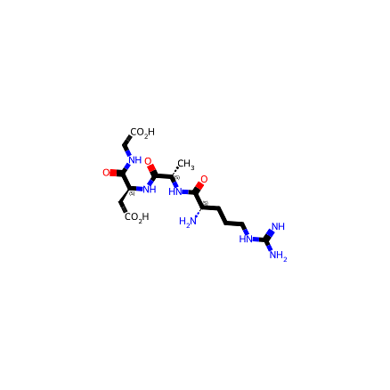 C[C@H](NC(=O)[C@@H](N)CCCNC(=N)N)C(=O)N[C@@H](CC(=O)O)C(=O)NCC(=O)O